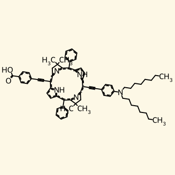 CCCCCCCCN(CCCCCCCC)c1ccc(C#Cc2c3nc(c(-c4ccccc4)c4ccc([nH]4)c(C#Cc4ccc(C(=O)O)cc4)c4nc(c(-c5ccccc5)c5ccc2[nH]5)C(C)(C)C4)C(C)(C)C3)cc1